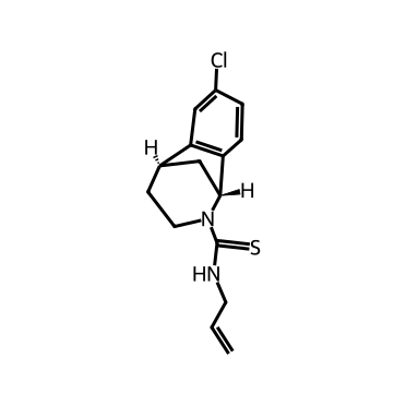 C=CCNC(=S)N1CC[C@@H]2C[C@@H]1c1ccc(Cl)cc12